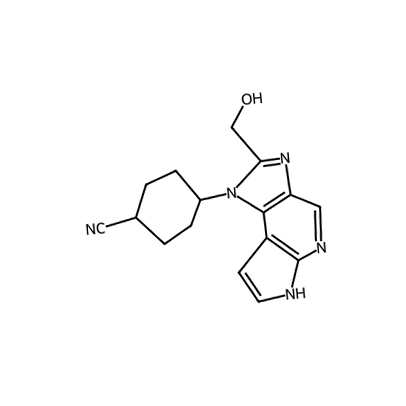 N#CC1CCC(n2c(CO)nc3cnc4[nH]ccc4c32)CC1